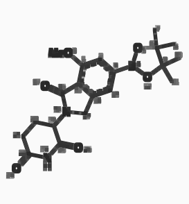 COc1cc(B2OC(C)(C)C(C)(C)O2)cc2c1C(=O)N(C1CCC(=O)NC1=O)C2